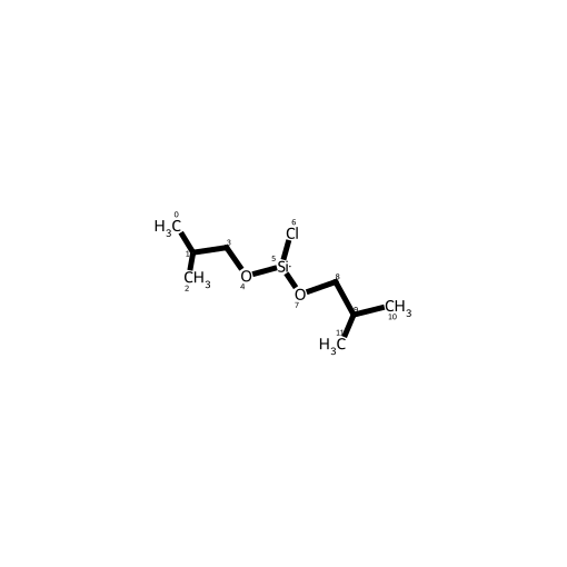 CC(C)CO[Si](Cl)OCC(C)C